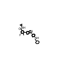 Cc1c(F)cc(C(=O)NC2CC2)cc1-c1ccc2c(cnn2-c2ccc(NCC3CCCCC3)cc2)c1